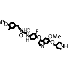 CCCOc1ccc(CCNC(=O)C(=O)Nc2ccc(Oc3ccnc4cc(OCC5CCNCC5)c(OC)cc34)c(F)c2)cc1C